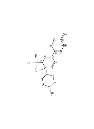 CC1([C@H]2CC[C@@H](O)CC2)C=CC(C2=NNC(=O)OC2)=CC1C(F)(F)F